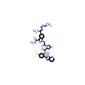 C=C/N=N\C=C(/C)c1ccc2c(c1)c(C(N)=O)nn2CC(=O)N1CC(F)CC1C(=O)Nc1cc(F)ccc1-c1nc2cccnc2[nH]1